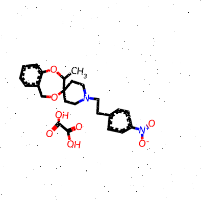 CC1Oc2ccccc2COC12CCN(CCc1ccc([N+](=O)[O-])cc1)CC2.O=C(O)C(=O)O